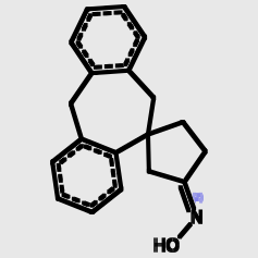 O/N=C1/CCC2(C1)Cc1ccccc1Cc1ccccc12